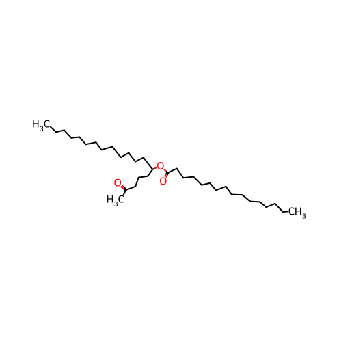 CCCCCCCCCCCCCCCC(=O)OC(CCCCCCCCCCCCC)CCCC(C)=O